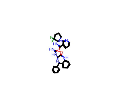 N=C(NC1N=C(c2ccccc2)c2ccccc2NC1=O)OC(=N)c1cccnc1N1CCCC(F)(F)C1